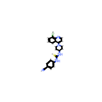 N#Cc1ccc(NC(=S)NC2CCN(c3ccnc4c(Cl)cccc34)CC2)cc1